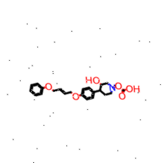 O=C(O)ON1CCC(c2ccc(OC/C=C/COc3ccccc3)cc2)C(O)C1